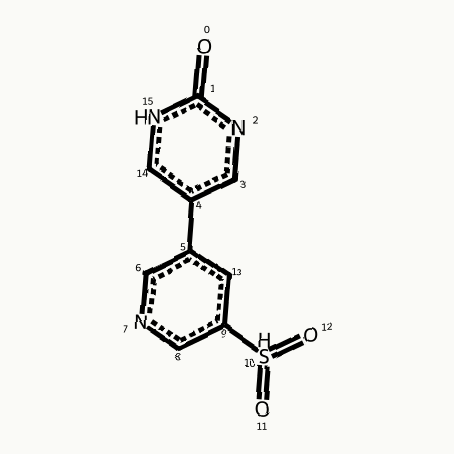 O=c1ncc(-c2cncc([SH](=O)=O)c2)c[nH]1